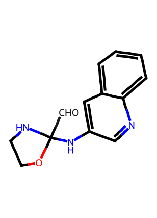 O=CC1(Nc2cnc3ccccc3c2)NCCO1